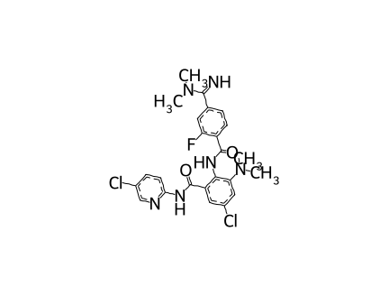 CN(C)C(=N)c1ccc(C(=O)Nc2c(C(=O)Nc3ccc(Cl)cn3)cc(Cl)cc2N(C)C)c(F)c1